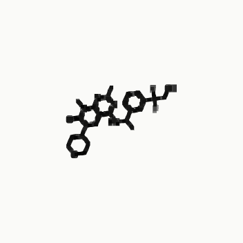 Cc1nc(NC(C)c2cccc(C(F)(F)CO)c2)c2cc(C3=CCOCC3)c(=O)n(C)c2n1